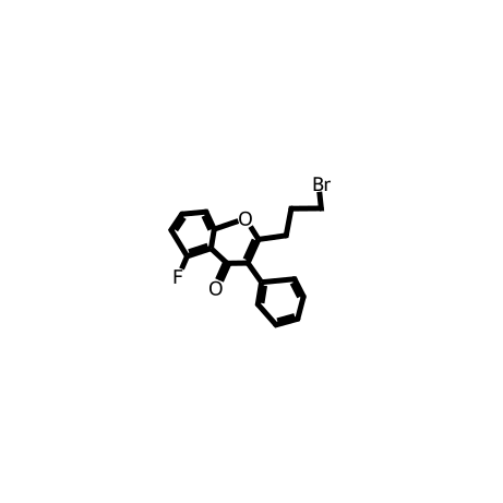 O=c1c(-c2ccccc2)c(CCCBr)oc2cccc(F)c12